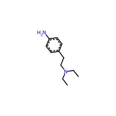 CCN(CC)CCc1ccc(N)cc1